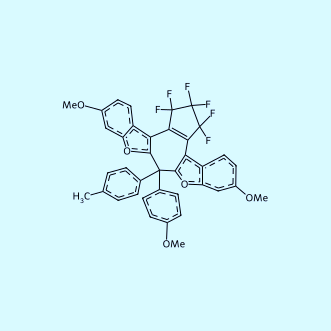 COc1ccc(C2(c3ccc(C)cc3)c3oc4cc(OC)ccc4c3C3=C(c4c2oc2cc(OC)ccc42)C(F)(F)C(F)(F)C3(F)F)cc1